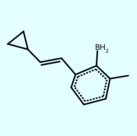 Bc1c(C)cccc1/C=C/C1CC1